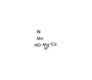 [Co].[MgH+].[Mn].[Ni].[OH-]